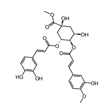 COC(=O)[C@]1(O)C[C@@H](O)[C@@H](OC(=O)/C=C/c2ccc(OC)c(O)c2)[C@H](OC(=O)/C=C/c2ccc(O)c(O)c2)C1